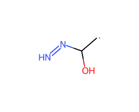 [CH2]C(O)N=N